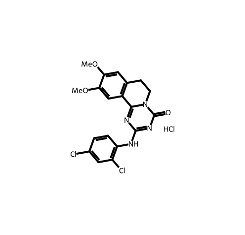 COc1cc2c(cc1OC)-c1nc(Nc3ccc(Cl)cc3Cl)nc(=O)n1CC2.Cl